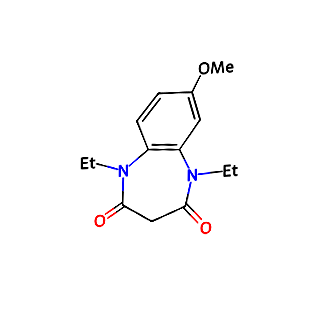 CCN1C(=O)CC(=O)N(CC)c2cc(OC)ccc21